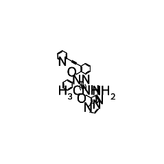 C[C@H](NC(=O)c1c(N)nn2cccnc12)c1nc2cccc(C#Cc3ccccn3)c2c(=O)n1-c1ccccc1